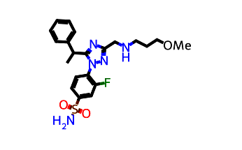 COCCCNCc1nc(C(C)c2ccccc2)n(-c2ccc(S(N)(=O)=O)cc2F)n1